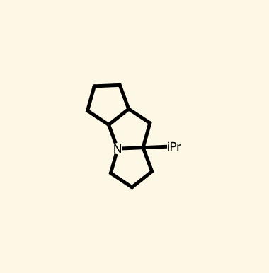 CC(C)C12CCCN1C1CCCC1C2